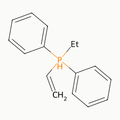 C=C[PH](CC)(c1ccccc1)c1ccccc1